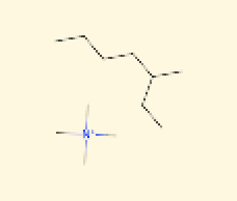 CCCCC(C)CC.C[N+](C)(C)C